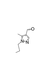 CCCn1ncc(C=O)c1C